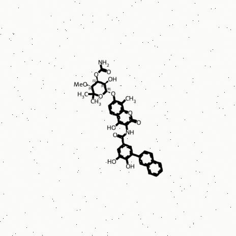 CO[C@@H]1[C@@H](OC(N)=O)[C@@H](O)[C@H](Oc2ccc3c(O)c(NC(=O)c4cc(O)c(O)c(-c5ccc6ccccc6c5)c4)c(=O)oc3c2C)OC1(C)C